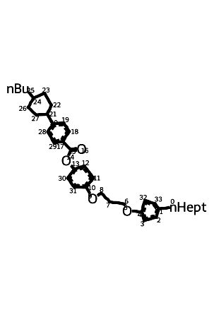 CCCCCCCc1ccc(OCCCOc2ccc(OC(=O)c3ccc(C4CCC(CCCC)CC4)cc3)cc2)cc1